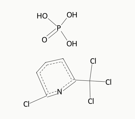 Clc1cccc(C(Cl)(Cl)Cl)n1.O=P(O)(O)O